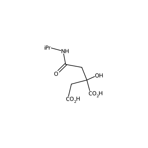 CC(C)NC(=O)CC(O)(CC(=O)O)C(=O)O